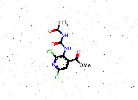 COC(=O)c1cc(Cl)nc(Cl)c1NC(=O)NC(=O)C(Cl)(Cl)Cl